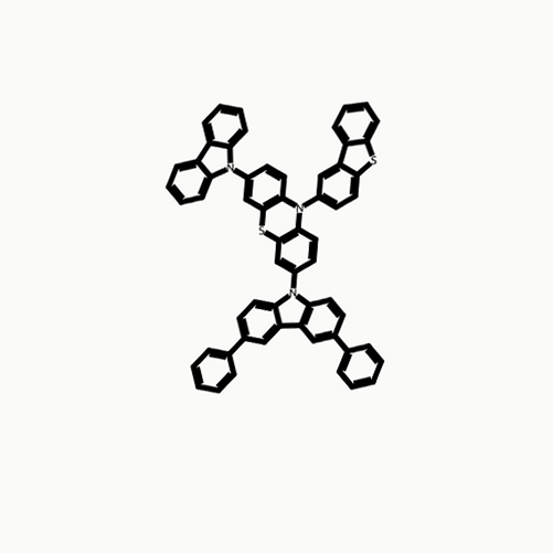 c1ccc(-c2ccc3c(c2)c2cc(-c4ccccc4)ccc2n3-c2ccc3c(c2)Sc2cc(-n4c5ccccc5c5ccccc54)ccc2N3c2ccc3sc4ccccc4c3c2)cc1